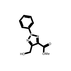 COC(=O)c1nn(-c2ccccc2)nc1CO